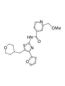 COCc1cc(C(=O)Nc2nc(-c3ccco3)c(CC3CCOCC3)s2)ccn1